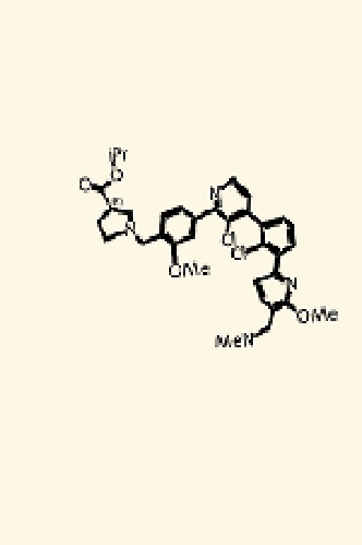 CNCc1ccc(-c2cccc(-c3ccnc(-c4ccc(CN5CC[C@@H](C(=O)OC(C)C)C5)c(OC)c4)c3Cl)c2Cl)nc1OC